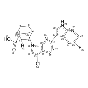 O=C(O)[C@H]1C2CCC(CC2)C1n1cc(Cl)c2cnc(-c3c[nH]c4ncc(F)cc34)nc21